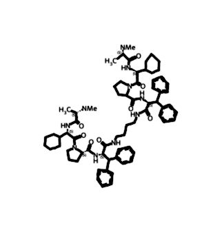 CN[C@@H](C)C(=O)N[C@H](C(=O)N1CCCC1C(=O)N[C@H](C(=O)NCCCCNC(=O)[C@@H](NC(=O)[C@@H]1CCCN1C(=O)[C@@H](NC(=O)[C@H](C)NC)C1CCCCC1)C(c1ccccc1)c1ccccc1)C(c1ccccc1)c1ccccc1)C1CCCCC1